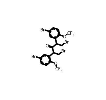 O=C(C(CBr)c1cc(Br)ccc1OC(F)(F)F)C(CBr)c1cc(Br)ccc1OC(F)(F)F